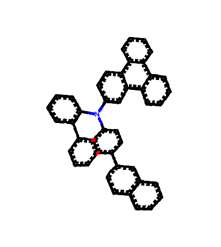 c1ccc(-c2ccccc2N(c2ccc(-c3ccc4ccccc4c3)cc2)c2ccc3c4ccccc4c4ccccc4c3c2)cc1